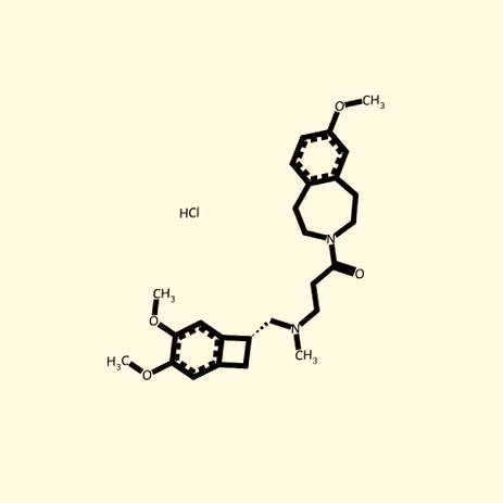 COc1ccc2c(c1)CCN(C(=O)CCN(C)C[C@@H]1Cc3cc(OC)c(OC)cc31)CC2.Cl